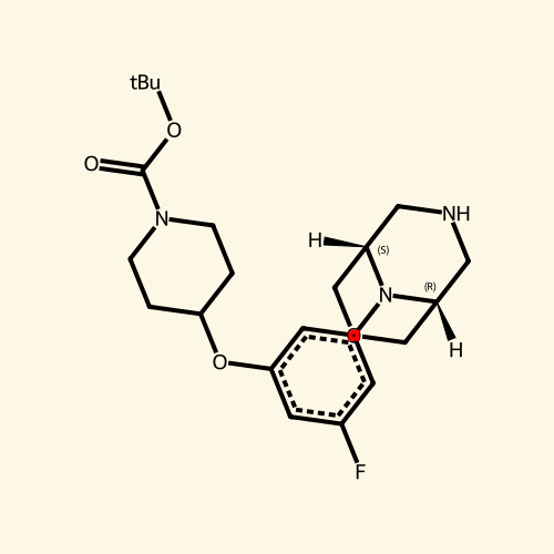 CC(C)(C)OC(=O)N1CCC(Oc2cc(F)cc(N3[C@@H]4CNC[C@H]3COC4)c2)CC1